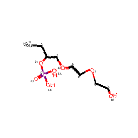 CC(C)(C)CC(COCCOCCO)OP(=O)(O)O